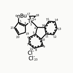 CCCCC1=[C]([Ti+2]2([CH]3c4ccccc4-c4ccccc43)[CH2][CH2]2)CC=C1.[Cl-].[Cl-]